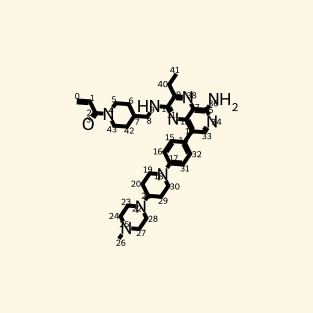 C=CC(=O)N1CCC(CNc2nc3c(-c4ccc(N5CCC(N6CCN(C)CC6)CC5)cc4)cnc(N)c3nc2CC)CC1